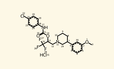 COc1cccc(C2CCCN(CC(OC(=O)Nc3ccc(Cl)cc3)C(F)(F)F)C2)c1.Cl